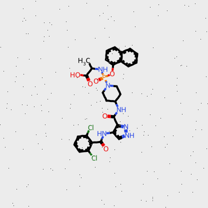 CC(NP(=O)(Oc1cccc2ccccc12)N1CCC(NC(=O)c2n[nH]cc2NC(=O)c2c(Cl)cccc2Cl)CC1)C(=O)O